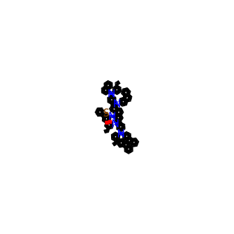 C=Cc1cccc(N(c2ccc3c(c2)C2(c4ccccc4-c4ccccc42)c2ccccc2-3)c2ccc3c4cc5ccc6c7c5c(c4n(-c4cccc(C=C)c4)c3c2)n(-c2cccc3c2sc2ccccc23)c7cc2c3ccc(N(c4cccc(C=C)c4)c4cccc5ccccc45)cc3n(-c3ccc4ccc5ccccc5c4c3)c26)c1